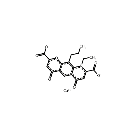 CCCc1c2oc(C(=O)[O-])cc(=O)c2cc2c(=O)cc(C(=O)[O-])n(CC)c12.[Ca+2]